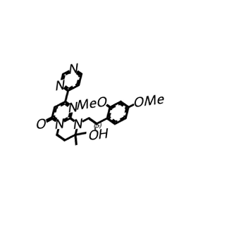 COc1ccc([C@H](O)CN2c3nc(-c4ccncn4)cc(=O)n3CCC2(C)C)c(OC)c1